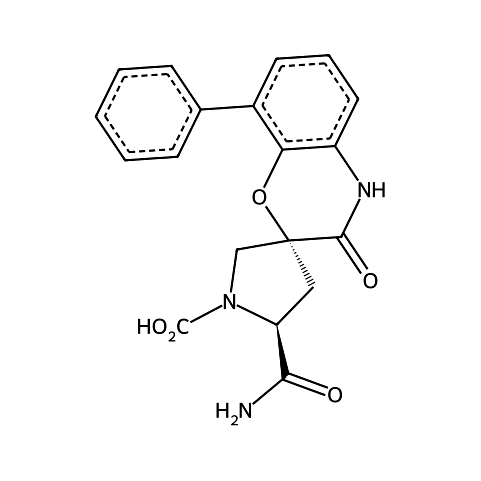 NC(=O)[C@@H]1C[C@]2(CN1C(=O)O)Oc1c(cccc1-c1ccccc1)NC2=O